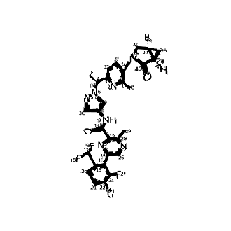 Cc1nc([C@H](C)n2cc(NC(=O)c3nc(-c4c(C(F)F)ccc(Cl)c4F)cnc3C)cn2)ccc1N1C[C@H]2C[C@H]2C1=O